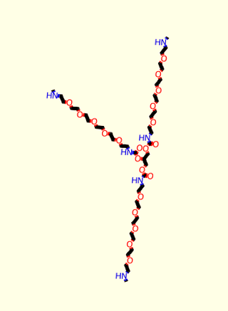 CNCCOCCOCCOCCOCCOCCNC(=O)OCC(COC(=O)NCCOCCOCCOCCOCCOCCNC)OC(=O)NCCOCCOCCOCCOCCOCCNC